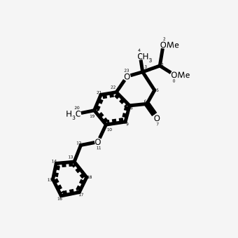 COC(OC)C1(C)CC(=O)c2cc(OCc3ccccc3)c(C)cc2O1